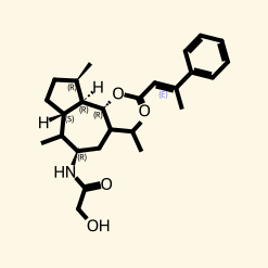 C/C(=C\C(=O)O[C@@H]1C(C(C)C)C[C@@H](NC(=O)CO)C(C)[C@@H]2CC[C@@H](C)[C@@H]12)c1ccccc1